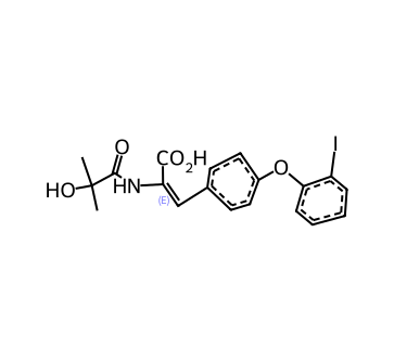 CC(C)(O)C(=O)N/C(=C/c1ccc(Oc2ccccc2I)cc1)C(=O)O